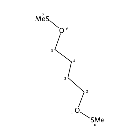 CSOCCCCOSC